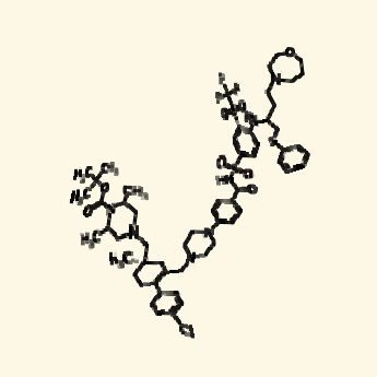 CC1CN(C[C@]2(C)CCC(c3ccc(Cl)cc3)=C(CN3CCN(c4ccc(C(=O)NS(=O)(=O)c5ccc(NC(CCN6CCCOCC6)CSc6ccccc6)c(S(=O)(=O)C(F)(F)F)c5)cc4)CC3)C2)CC(C)N1C(=O)OC(C)(C)C